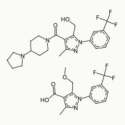 COCc1c(C(=O)O)c(C)nn1-c1cccc(C(F)(F)F)c1.Cc1nn(-c2cccc(C(F)(F)F)c2)c(CO)c1C(=O)N1CCC(N2CCCC2)CC1